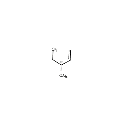 C=C[C@@H](CO)OC